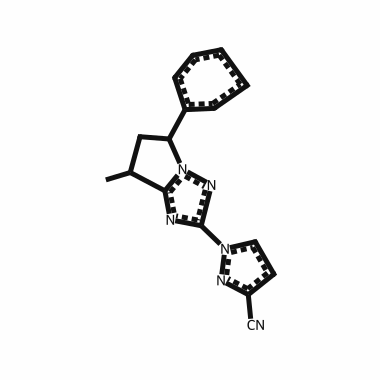 CC1CC(c2ccccc2)n2nc(-n3ccc(C#N)n3)nc21